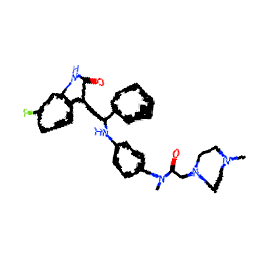 CN1CCN(CC(=O)N(C)c2ccc(NC(=C3C(=O)Nc4cc(F)ccc43)c3ccccc3)cc2)CC1